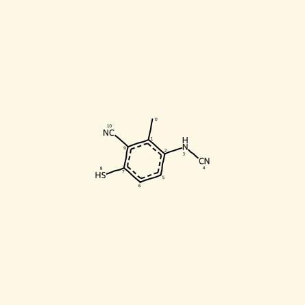 Cc1c(NC#N)ccc(S)c1C#N